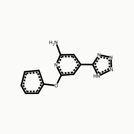 Nc1cc(-c2nnn[nH]2)cc(Oc2ccccc2)n1